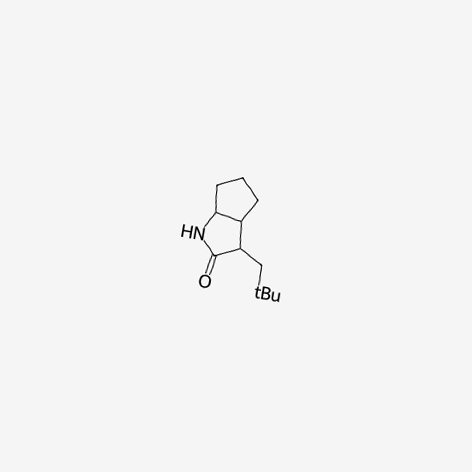 CC(C)(C)CC1C(=O)NC2CCCC21